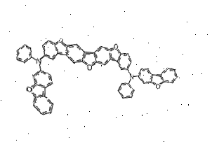 c1ccc(N(c2ccc3c(c2)oc2ccccc23)c2ccc3oc4cc5c(cc4c3c2)oc2cc3c(cc25)oc2ccc(N(c4ccccc4)c4ccc5c(c4)oc4ccccc45)cc23)cc1